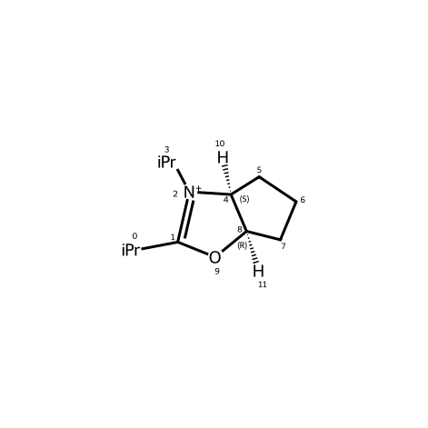 CC(C)C1=[N+](C(C)C)[C@H]2CCC[C@H]2O1